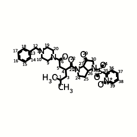 CC(C)CC(CC(=O)N1CCN(Cc2ccccc2)CC1)C(=O)N1CCC2C1C(=O)CN2S(=O)(=O)c1cccc[n+]1[O-]